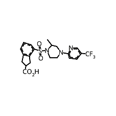 CC1CN(c2ccc(C(F)(F)F)cn2)CCN1S(=O)(=O)c1cccc2c1CC(C(=O)O)C2